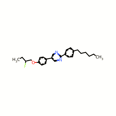 CCCCCCc1ccc(-c2ncc(-c3ccc(OCC(F)CC)cc3)cn2)cc1